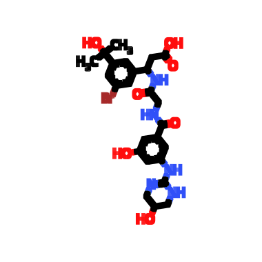 CC(C)(O)c1cc(Br)cc(C(CC(=O)O)NC(=O)CNC(=O)c2cc(O)cc(NC3=NCC(O)CN3)c2)c1